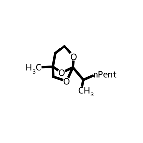 CCCCCC(C)C12OCCC(C)(CO1)O2